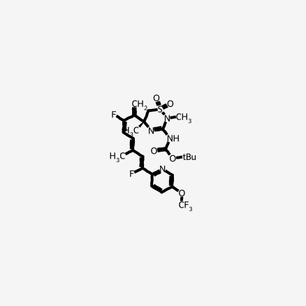 C=C(\C(F)=C/C=C(C)/C=C(\F)c1ccc(OC(F)(F)F)cn1)[C@]1(C)CS(=O)(=O)N(C)C(NC(=O)OC(C)(C)C)=N1